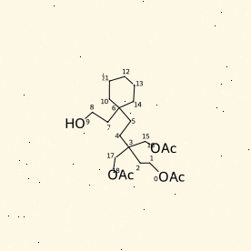 CC(=O)OCCC(CCC1(CCO)CCCCC1)(COC(C)=O)COC(C)=O